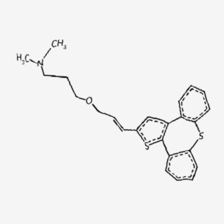 CN(C)CCCOCC=Cc1cc2c(s1)-c1ccccc1Sc1ccccc1-2